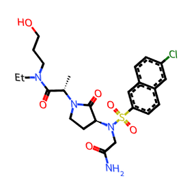 CCN(CCCO)C(=O)[C@H](C)N1CC[C@H](N(CC(N)=O)S(=O)(=O)c2ccc3cc(Cl)ccc3c2)C1=O